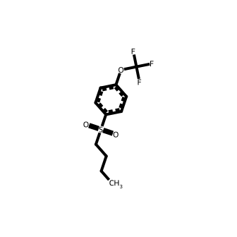 CCCCS(=O)(=O)c1ccc(OC(F)(F)F)cc1